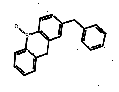 [O-][S+]1c2ccccc2Cc2cc(Cc3ccccc3)ccc21